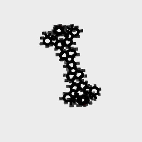 CC1(C)CCCC2c3cc(-c4ccc5c6cc7c(cc6c6ccc(-c8ccc9c(c8)C8CCCC(C)(C)C8(C)N9c8ccccc8)c4c56)c4ccc(-c5ccc6c(c5)C5CCCC(C)(C)C5(C)N6c5ccccc5)c5c(-c6ccc8c(c6)C6CCCC(C)(C)C6(C)N8c6ccccc6)ccc7c54)ccc3N(c3ccccc3)C21C